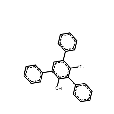 Oc1c(-c2ccccc2)cc(-c2ccccc2)c(O)c1-c1ccccc1